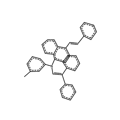 Cc1cccc(N(C=C(c2ccccc2)c2ccccc2)c2ccc(C=Cc3ccccc3)c3ccccc23)c1